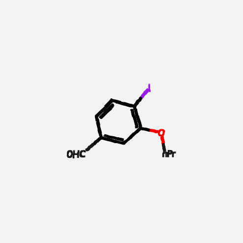 CCCOc1cc(C=O)ccc1I